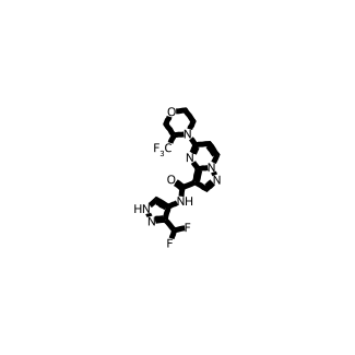 O=C(Nc1c[nH]nc1C(F)F)c1cnn2ccc(N3CCOCC3C(F)(F)F)nc12